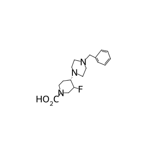 O=C(O)N1CC[C@H](N2CCN(Cc3ccccc3)CC2)C(F)C1